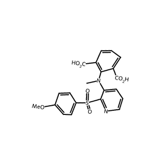 COc1ccc(S(=O)(=O)c2ncccc2N(C)c2c(C(=O)O)cccc2C(=O)O)cc1